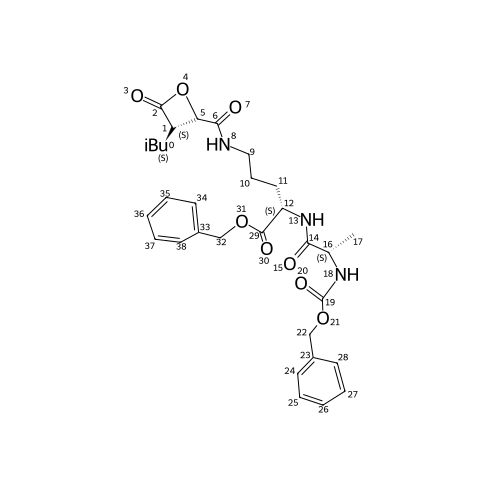 CC[C@H](C)[C@@H]1C(=O)OC1C(=O)NCCC[C@H](NC(=O)[C@H](C)NC(=O)OCc1ccccc1)C(=O)OCc1ccccc1